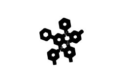 Cc1cccc(N2c3cc(C)ccc3B3c4ccc(C)cc4N(c4ccccc4)c4cc(C5CCCCC5)cc2c43)c1